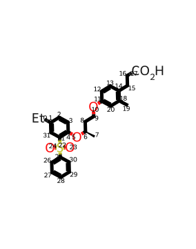 CCc1ccc(O[C@H](C)CCOc2ccc(CCC(=O)O)c(C)c2)c(S(=O)(=O)c2ccccc2)c1